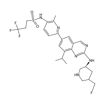 Cc1nc(-c2cc(C(C)C)c3nc(N[C@@H]4CNCC(CF)C4)ncc3c2)ccc1NS(=O)(=O)CCC(F)(F)F